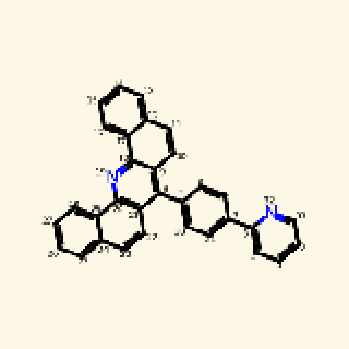 c1ccc(-c2ccc(-c3c4ccc5ccccc5c4nc4c3ccc3ccccc34)cc2)nc1